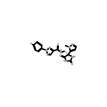 Cn1nccc1[C@@]1(CNC(=O)c2cnn(-c3ccc(F)cc3)n2)NC(=O)NC1=O